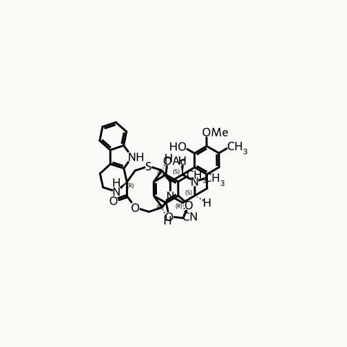 COc1c(C)cc2c(c1O)[C@H]1C3[C@@H]4SC[C@]5(NCCc6c5[nH]c5ccccc65)C(=O)OC[C@@H](c5c6c(c(C)c(OC(C)=O)c54)OCO6)N3[C@@H](C#N)[C@H](C2)N1C